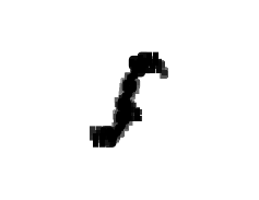 C=C(C)C(=O)OCCCC1CCC(CCc2ccc(-c3ccc(CCCC(CO)CO)cc3CC)c(F)c2)CC1